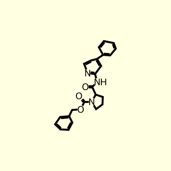 O=C(Nc1cc(-c2ccccc2)ccn1)C1CCCN1C(=O)OCc1ccccc1